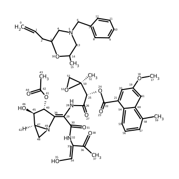 C=CCC1CN(Cc2ccccc2)CC(C)O1.COc1cc(C(=O)O[C@H](C(=O)N/C(C(=O)N/C(=C\O)C(C)=O)=C2\[C@@H](OC(C)=O)[C@H](O)[C@@H]3CN23)[C@]2(C)CO2)c2cccc(C)c2c1